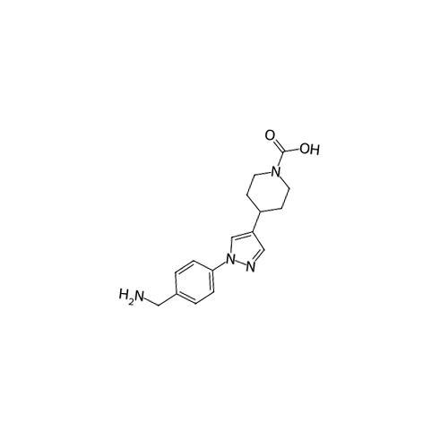 NCc1ccc(-n2cc(C3CCN(C(=O)O)CC3)cn2)cc1